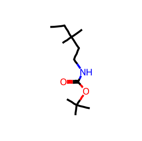 CCC(C)(C)CCNC(=O)OC(C)(C)C